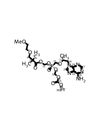 COCCOCC(C)(C)C(=O)OCOP(=O)(CO[C@H](C)Cn1cnc2c(N)ncnc21)OCOC(=O)OC(C)C